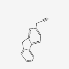 [C]#CCc1ccc2c(c1)Cc1ccccc1-2